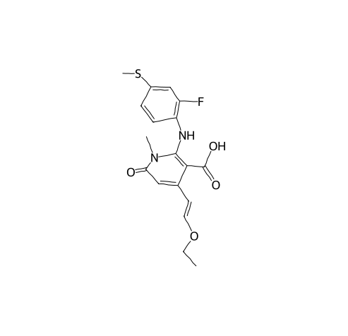 CCOC=Cc1cc(=O)n(C)c(Nc2ccc(SC)cc2F)c1C(=O)O